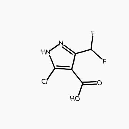 O=C(O)c1c(C(F)F)n[nH]c1Cl